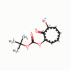 CC(C)(C)OC(=O)Oc1ccccc(Br)c1=O